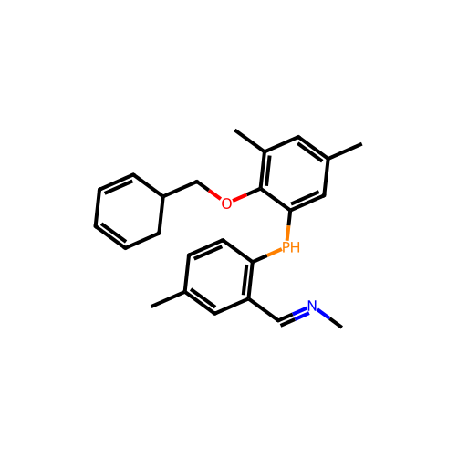 C/N=C/c1cc(C)ccc1Pc1cc(C)cc(C)c1OCC1C=CC=CC1